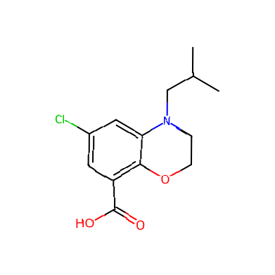 CC(C)CN1CCOc2c(C(=O)O)cc(Cl)cc21